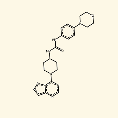 O=C(Nc1ccc(N2CCOCC2)cc1)NC1CCN(c2ncnc3ccsc23)CC1